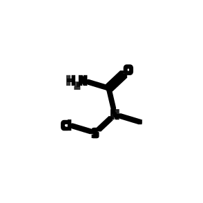 CN(SCl)C(N)=O